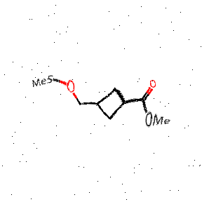 COC(=O)C1CC(COSC)C1